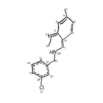 C/N=C1/C=C(C)C=C/C1=C/NCc1cccc(Cl)c1